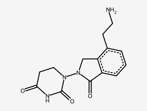 NCCc1cccc2c1CN(N1CCC(=O)NC1=O)C2=O